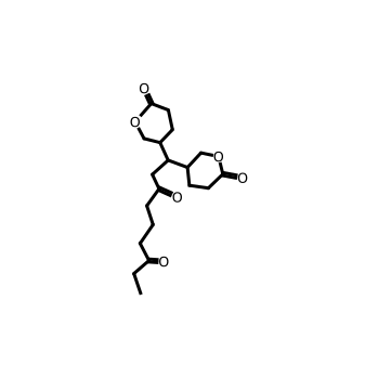 CCC(=O)CCCC(=O)CC(C1CCC(=O)OC1)C1CCC(=O)OC1